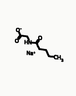 CCCCC(=O)NCC(=O)[O-].[Na+]